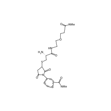 CNC(=O)CCOCCNC(=O)[C@@H](N)CSC1CC(=O)N(c2cccc(C(=O)NC)c2)C1=O